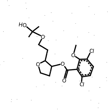 COc1c(Cl)ccc(Cl)c1C(=O)OC1CCOC1CCOC(C)(C)O